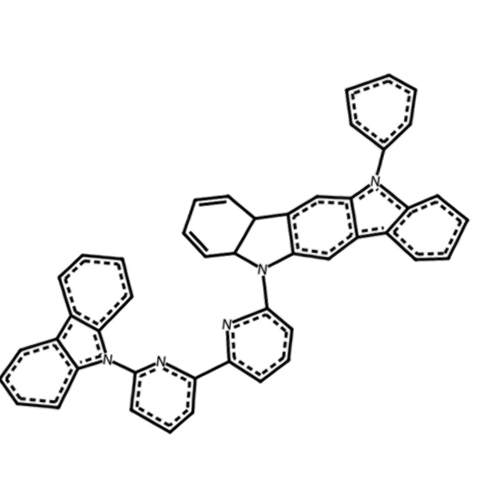 C1=CC2c3cc4c(cc3N(c3cccc(-c5cccc(-n6c7ccccc7c7ccccc76)n5)n3)C2C=C1)c1ccccc1n4-c1ccccc1